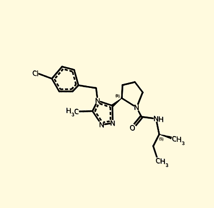 CC[C@H](C)NC(=O)N1CCC[C@@H]1c1nnc(C)n1Cc1ccc(Cl)cc1